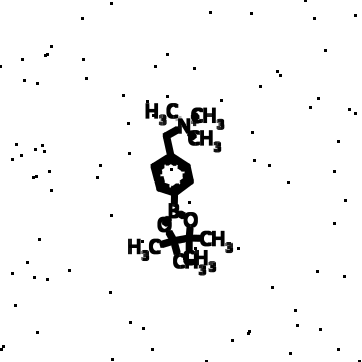 CC1(C)OB(c2ccc(C[N+](C)(C)C)cc2)OC1(C)C